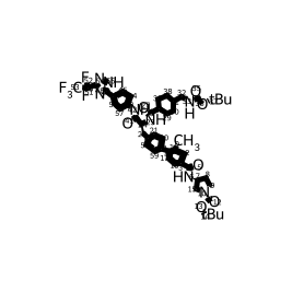 Cc1cc(C(=O)N[C@@H]2CCN(C(=O)OC(C)(C)C)C2)ccc1-c1ccc(C[C@H](NC(=O)C2CCC(CNC(=O)OC(C)(C)C)CC2)C(=O)Nc2ccc(-c3nc(C(F)(F)C(F)(F)F)n[nH]3)cc2)cc1